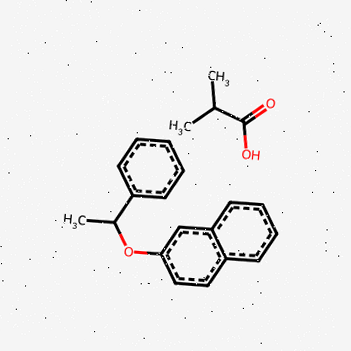 CC(C)C(=O)O.CC(Oc1ccc2ccccc2c1)c1ccccc1